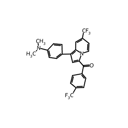 CN(C)c1ccc(-c2cc(C(=O)c3ccc(C(F)(F)F)cc3)n3ccc(C(F)(F)F)cc23)cc1